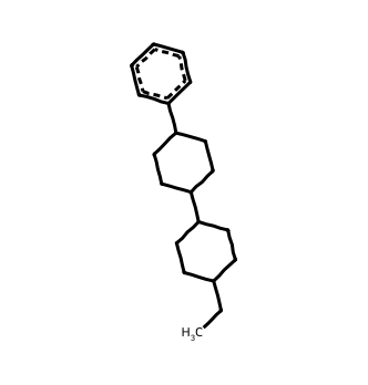 CCC1CCC(C2CCC(c3ccccc3)CC2)CC1